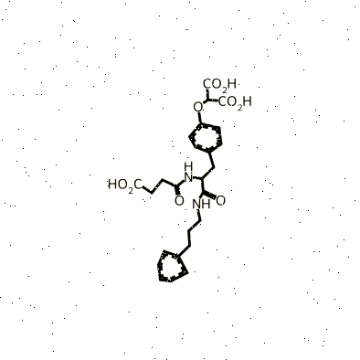 O=C(O)CCC(=O)NC(Cc1ccc(OC(C(=O)O)C(=O)O)cc1)C(=O)NCCCc1ccccc1